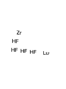 F.F.F.F.[Lu].[Zr]